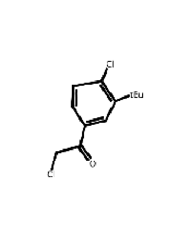 CC(C)(C)c1cc(C(=O)CCl)ccc1Cl